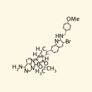 COc1ccc(CNc2nc3cc(/C(C)=C/[C@@]45C[C@@H]4[C@@H](n4ccc6c(N)ncnc64)[C@@H]4OC(C)(C)O[C@@H]45)ccc3cc2Br)cc1